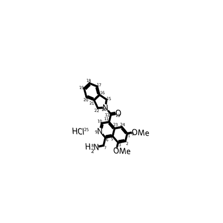 COc1cc(OC)c2c(CN)ncc(C(=O)N3Cc4ccccc4C3)c2c1.Cl